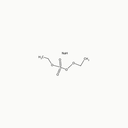 CCOOS(=O)(=O)OCC.[NaH]